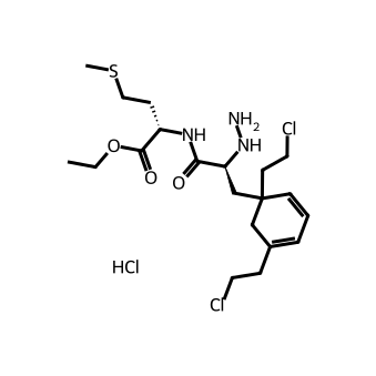 CCOC(=O)[C@H](CCSC)NC(=O)[C@H](CC1(CCCl)C=CC=C(CCCl)C1)NN.Cl